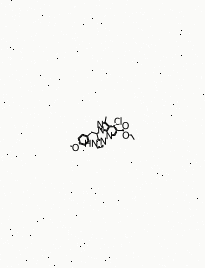 CCOC(=O)c1cnc2c(c(C)nn2C(Cc2ccc(OC)cc2)c2ncc[nH]2)c1Cl